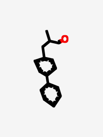 CC(C=O)Cc1ccc(-c2ccccc2)cc1